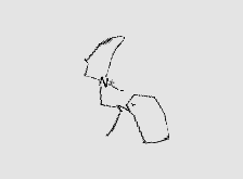 C[N+]1(C[N+]2(C)CCCC2)CCCC1